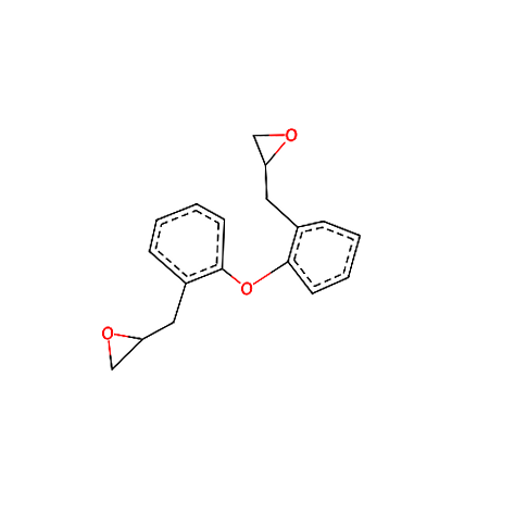 c1ccc(Oc2ccccc2CC2CO2)c(CC2CO2)c1